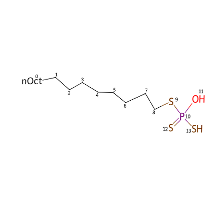 CCCCCCCCCCCCCCCCSP(O)(=S)S